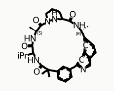 CC(C)C1NC(=O)C(C)(C)c2cccc(c2)-c2cc3cc(ccc3cn2)[C@@H](C)NC(=O)C2CCCN(N2)C(=O)[C@H](C)NC1=O